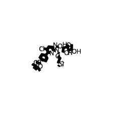 CC1(C)OB(c2ccc(-c3nc4c(cc3Cl)nc(O[C@@H]3CO[C@H]5[C@@H]3OC[C@H]5O)n4COCC[Si](C)(C)C)cc2)OC1(C)C